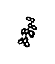 c1ccc2c(-c3ccc(-c4c5ccccc5c(-c5cc6ccccc6c6ccccc56)c5ccccc45)c4ccccc34)cccc2c1